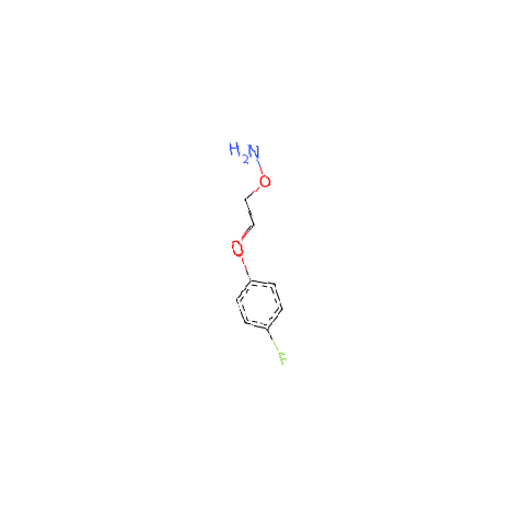 NOCCOc1ccc(F)cc1